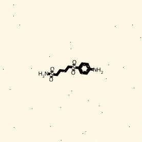 Nc1ccc(S(=O)(=O)CCCCS(N)(=O)=O)cc1